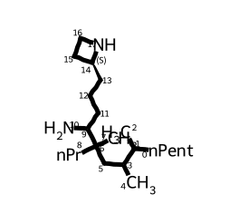 CCCCCC(C)C(C)CC(C)(CCC)C(N)CCC[C@H]1CCN1